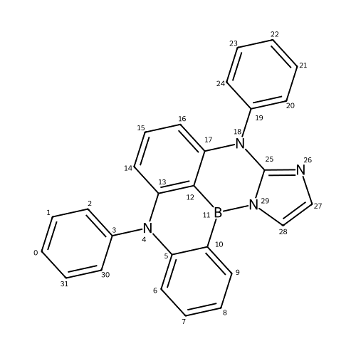 c1ccc(N2c3ccccc3B3c4c2cccc4N(c2ccccc2)c2nccn23)cc1